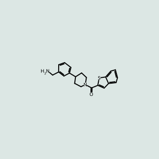 NCc1cccc(C2CCN(C(=O)c3cc4ccccc4s3)CC2)c1